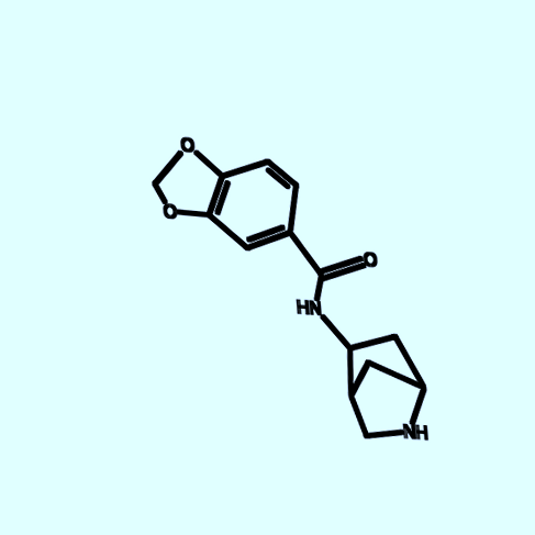 O=C(NC1CC2CC1CN2)c1ccc2c(c1)OCO2